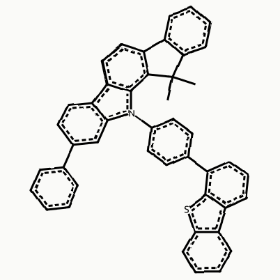 CC1(C)c2ccccc2-c2ccc3c4ccc(-c5ccccc5)cc4n(-c4ccc(-c5cccc6c5sc5ccccc56)cc4)c3c21